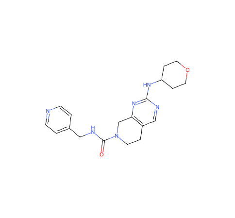 O=C(NCc1ccncc1)N1CCc2cnc(NC3CCOCC3)nc2C1